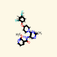 COc1ncccc1C(=O)Nc1cnc(C)nc1N1CCC(Oc2ccc(F)cc2F)CC1